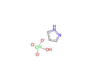 [O-][Cl+3]([O-])([O-])O.c1cn[nH]c1